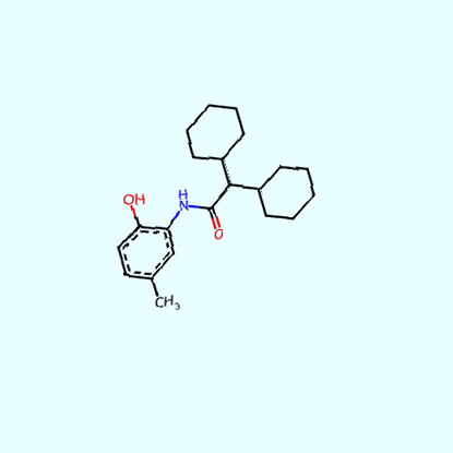 Cc1ccc(O)c(NC(=O)C(C2CCCCC2)C2CCCCC2)c1